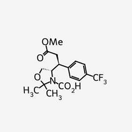 COC(=O)C[C@@H](c1ccc(C(F)(F)F)cc1)[C@H]1COC(C)(C)N1C(=O)O